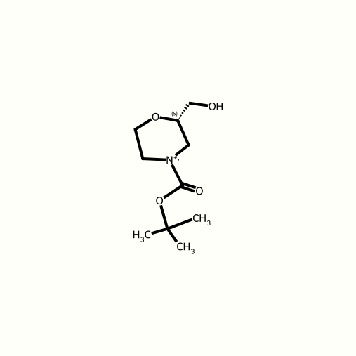 CC(C)(C)OC(=O)[N+]1CCO[C@H](CO)C1